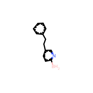 Bc1ccc(CCc2ccccc2)cn1